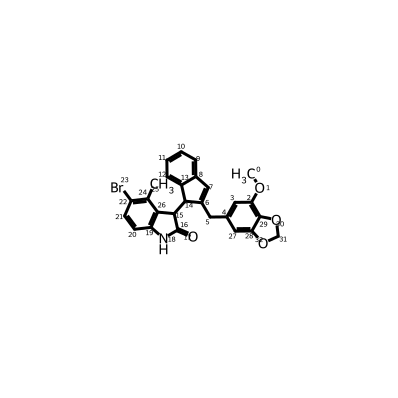 COc1cc(CC2=Cc3ccccc3C2C2C(=O)Nc3ccc(Br)c(C)c32)cc2c1OCO2